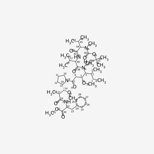 CCC(C)C(C(CC(=O)N1CCC[C@H]1C(OC)C(C)C(=O)NC(Cc1ccccc1)C(=O)OC)OC)N(C)C(=O)C(NC(=O)C(C(C)C)N(C)C(=O)OC(C)(C)C)C(C)C